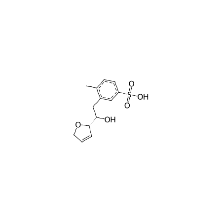 Cc1ccc(S(=O)(=O)O)cc1CC(O)[C@@H]1C=CCO1